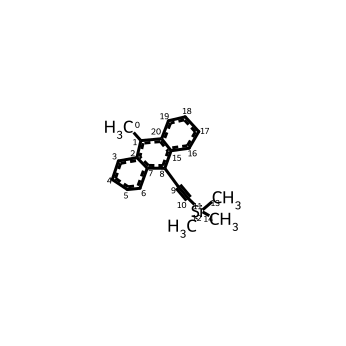 Cc1c2ccccc2c(C#C[Si](C)(C)C)c2ccccc12